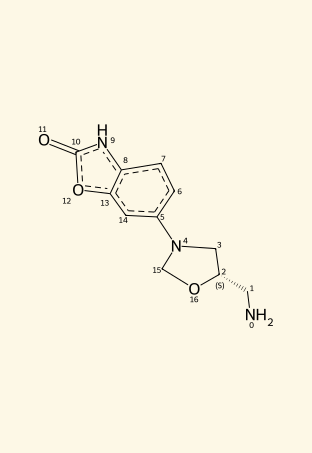 NC[C@H]1CN(c2ccc3[nH]c(=O)oc3c2)CO1